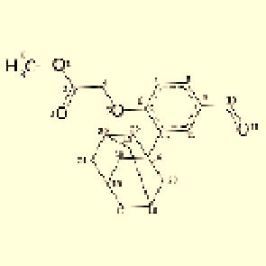 COC(=O)COc1ccc([C]=O)cc1C12CC3CC(CC(C3)C1)C2